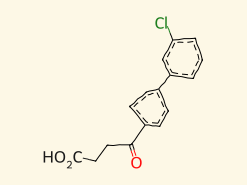 O=C(O)CCC(=O)c1ccc(-c2cccc(Cl)c2)cc1